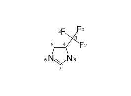 FC(F)(F)C1CN=[C][N]1